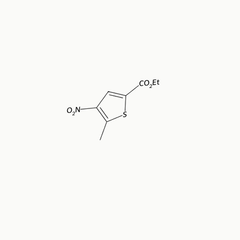 CCOC(=O)c1cc([N+](=O)[O-])c(C)s1